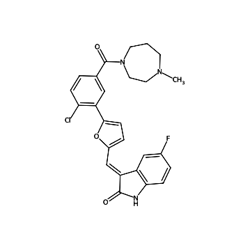 CN1CCCN(C(=O)c2ccc(Cl)c(-c3ccc(/C=C4/C(=O)Nc5ccc(F)cc54)o3)c2)CC1